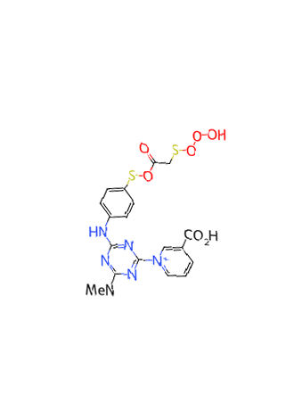 CNc1nc(Nc2ccc(SOC(=O)CSOOO)cc2)nc(-[n+]2cccc(C(=O)O)c2)n1